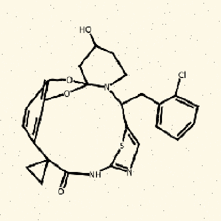 O=C1Nc2ncc(s2)C(Cc2ccccc2Cl)N2CCC(O)CC23Oc2ccc(cc2O3)C12CC2